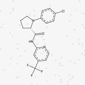 O=C(Nc1cc(C(F)(F)F)ccn1)[C@@H]1CCCN1c1ccc(Cl)cc1